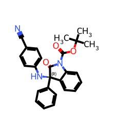 CC(C)(C)OC(=O)N1C(=O)[C@@](Nc2ccc(C#N)cc2)(c2ccccc2)c2ccccc21